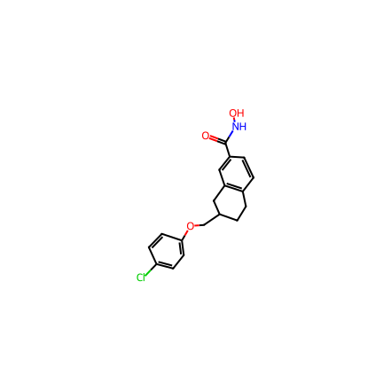 O=C(NO)c1ccc2c(c1)CC(COc1ccc(Cl)cc1)CC2